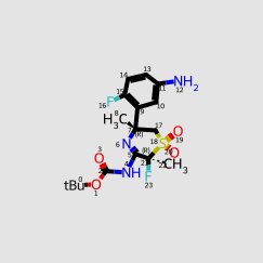 CC(C)(C)OC(=O)NC1=N[C@](C)(c2cc(N)ccc2F)CS(=O)(=O)[C@@]1(C)F